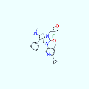 Cc1cc(C2CC2)ncc1N1CC2(CC(N(C)C)C2c2ccccc2)N(CC2(F)COC2)C1=O